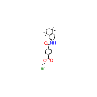 CC1(C)CCC(C)(C)c2cc(NC(=O)c3ccc(C(=O)OCCBr)cc3)ccc21